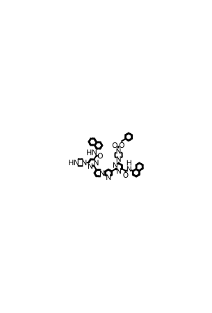 O=C(Nc1cccc2ccccc12)c1cc(N2CCN(C(=O)OCc3ccccc3)CC2)nc(-c2cccnc2)n1.O=C(Nc1cccc2ccccc12)c1cc(N2CCNCC2)nc(-c2cccnc2)n1